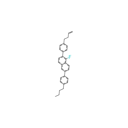 C=CCCc1ccc(-c2ccc3cc(-c4ccc(CCCC)cc4)ccc3c2F)cc1